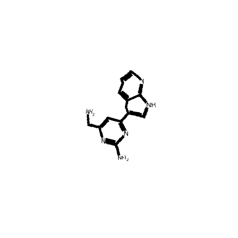 NCc1cc(-c2c[nH]c3ncccc23)nc(N)n1